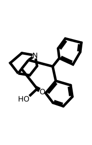 O=C(O)C1C2CCN(CC2)C1C(c1ccccc1)c1ccccc1